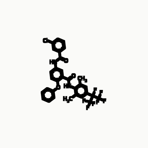 Cc1cc(C(F)(C(F)(F)F)C(F)(F)F)cc(C)c1NC(=O)c1cc(NC(=O)c2cccc(Cl)c2)ccc1Oc1ccccc1